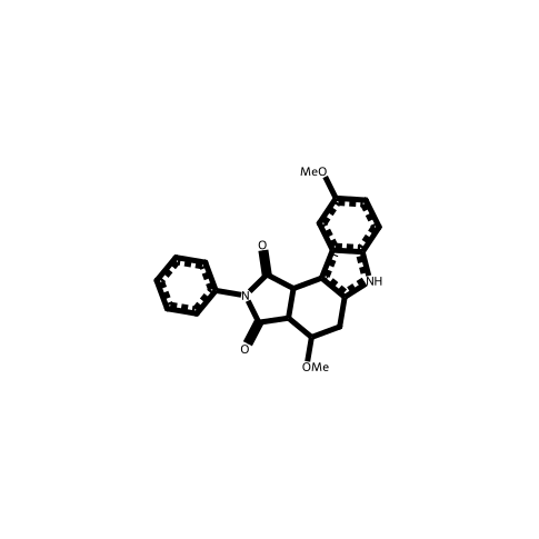 COc1ccc2[nH]c3c(c2c1)C1C(=O)N(c2ccccc2)C(=O)C1C(OC)C3